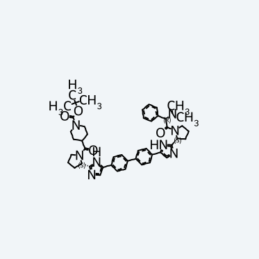 CN(C)[C@@H](C(=O)N1CCC[C@H]1c1ncc(-c2ccc(-c3ccc(-c4cnc([C@@H]5CCCN5C(=O)C5CCN(C(=O)OC(C)(C)C)CC5)[nH]4)cc3)cc2)[nH]1)c1ccccc1